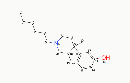 CCCCCCN1CCC(C)(c2cccc(O)c2)C(C)C1